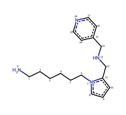 NCCCCCCn1cccc1CNCc1ccncc1